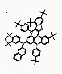 CC(C)(C)c1ccc(N2c3ccc(C(C)(C)C)cc3B3c4sc5cc(C(C)(C)C)cc(C(C)(C)C)c5c4N(c4ccc(C(C)(C)C)cc4)c4cc(N(c5ccc6c(c5)C(C)(C)CCC6(C)C)c5ccc6ccccc6c5)cc2c43)cc1